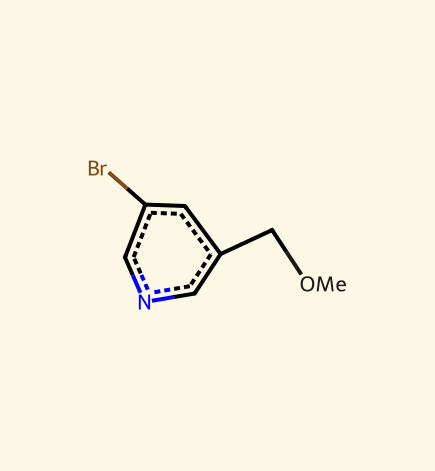 COCc1cncc(Br)c1